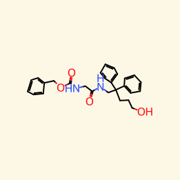 O=C(CNC(=O)OCc1ccccc1)NCC(CCCO)(c1ccccc1)c1ccccc1